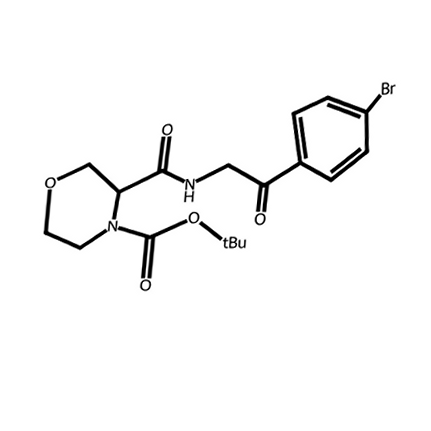 CC(C)(C)OC(=O)N1CCOCC1C(=O)NCC(=O)c1ccc(Br)cc1